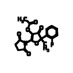 CC(=O)OC1=C(N2C(=O)CCC2=O)OC(C)(c2ccccc2F)C1=O